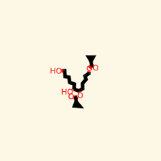 O=C(OCCCCCC(OC(=O)C1CC1)C(O)CCCCCO)C1CC1